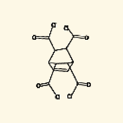 O=C(Cl)C1C2C=CC(C1C(=O)Cl)C(C(=O)Cl)C2C(=O)Cl